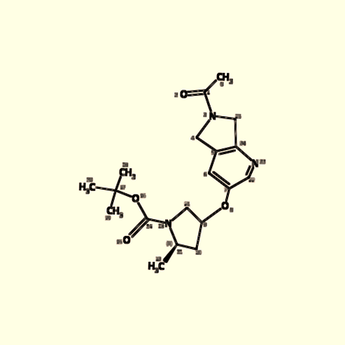 CC(=O)N1Cc2cc(OC3C[C@@H](C)N(C(=O)OC(C)(C)C)C3)cnc2C1